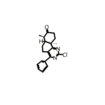 C[C@H]1C(=O)CC[C@@]2(C)c3nc(Cl)nc(-c4ccccc4)c3CC[C@H]12